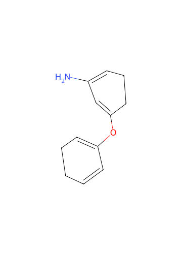 NC1=CCCC(OC2=CCCC=C2)=C1